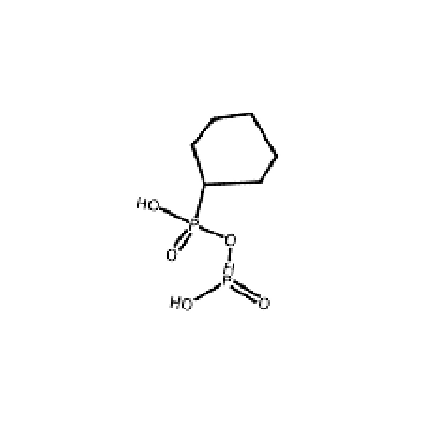 O=[PH](O)OP(=O)(O)C1CCCCC1